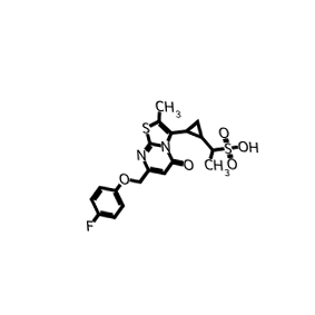 Cc1sc2nc(COc3ccc(F)cc3)cc(=O)n2c1C1CC1C(C)S(=O)(=O)O